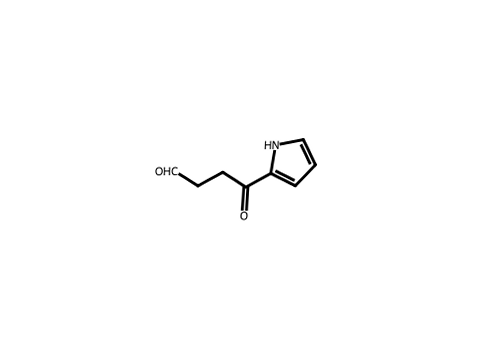 O=CCCC(=O)c1ccc[nH]1